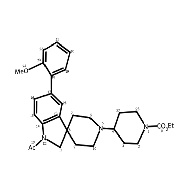 CCOC(=O)N1CCC(N2CCC3(CC2)CN(C(C)=O)c2ccc(-c4ccccc4OC)cc23)CC1